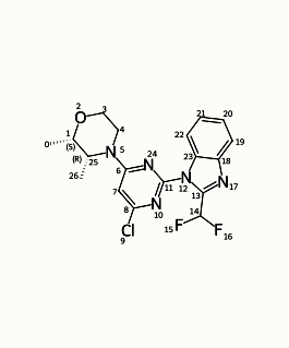 C[C@@H]1OCCN(c2cc(Cl)nc(-n3c(C(F)F)nc4ccccc43)n2)[C@@H]1C